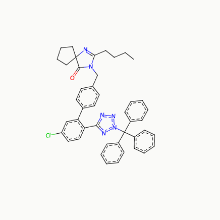 CCCCC1=NC2(CCCC2)C(=O)N1Cc1ccc(-c2cc(Cl)ccc2-c2nnn(C(c3ccccc3)(c3ccccc3)c3ccccc3)n2)cc1